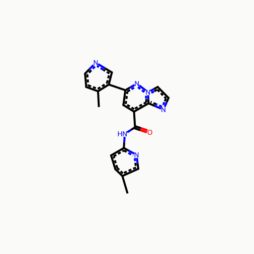 Cc1ccc(NC(=O)c2cc(-c3cnccc3C)nn3ccnc23)nc1